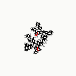 Cc1ccc(-c2ccc3c(c2)N(c2ccc(C(C)(C)C)cc2-c2ccccc2)C2CC(C(C)(C)C)=CC4=C2B3c2sc3cc5c(cc3c2N4c2ccc3c(c2)C(C)(C)CCC3(C)CCC(C)(C)c2ccc(N3c4cc6oc7c(c6cc4B4c6sc8cc9c(cc8c6N(c6ccc8c(c6)C(C)(C)CCC8(C)C)c6cc(C)cc3c64)C(C)(C)CCC9(C)C)CCC=C7)c(-c3ccccc3)c2)C(C)(C)CCC5(C)C)c(C)c1